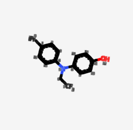 CC(C)c1ccc(N(CC(F)(F)F)c2ccc(O)cc2)cc1